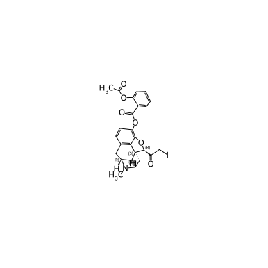 CC(=O)Oc1ccccc1C(=O)Oc1ccc2c3c1O[C@@H](C(=O)CI)[C@]31CCN(C)[C@H](C2)[C@@H]1I